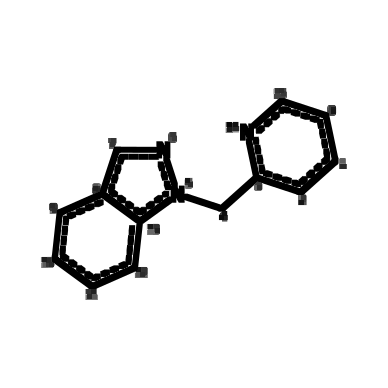 c1ccc(Cn2ncc3ccccc32)nc1